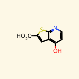 O=C(O)c1cc2c(O)ccnc2s1